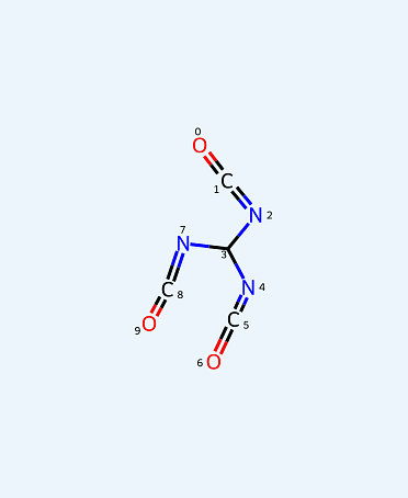 O=C=NC(N=C=O)N=C=O